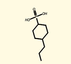 CCCC1CCC(P(=O)(O)O)CC1